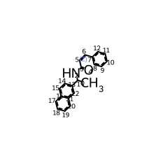 CC(NC(=O)/C=C\c1ccccc1)c1ccc2ccccc2c1